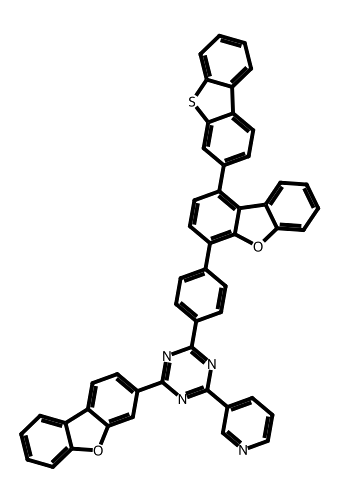 c1cncc(-c2nc(-c3ccc(-c4ccc(-c5ccc6c(c5)sc5ccccc56)c5c4oc4ccccc45)cc3)nc(-c3ccc4c(c3)oc3ccccc34)n2)c1